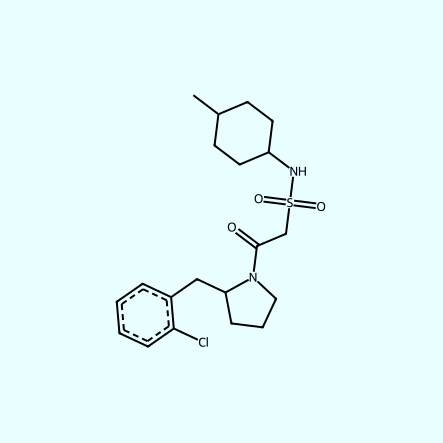 CC1CCC(NS(=O)(=O)CC(=O)N2CCCC2Cc2ccccc2Cl)CC1